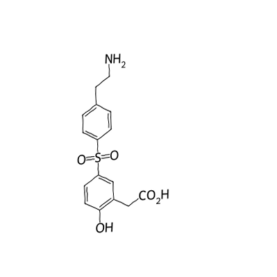 NCCc1ccc(S(=O)(=O)c2ccc(O)c(CC(=O)O)c2)cc1